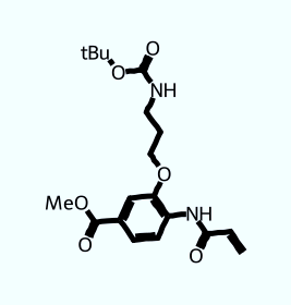 C=CC(=O)Nc1ccc(C(=O)OC)cc1OCCCNC(=O)OC(C)(C)C